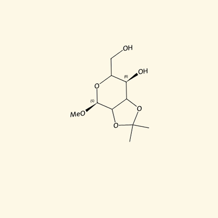 CO[C@H]1OC(CO)[C@@H](O)C2OC(C)(C)OC21